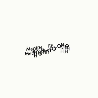 COC(=O)NC(C(=O)N1CCCC1c1ncc(-c2ccc3c(c2)C(F)(F)c2cc(-c4ccc5nc([C@H]6N[C@@H]7CCC6C7)[nH]c5c4)ccc2-3)[nH]1)[C@@H](C)OC